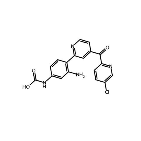 Nc1cc(NC(=O)O)ccc1-c1cc(C(=O)c2ccc(Cl)cn2)ccn1